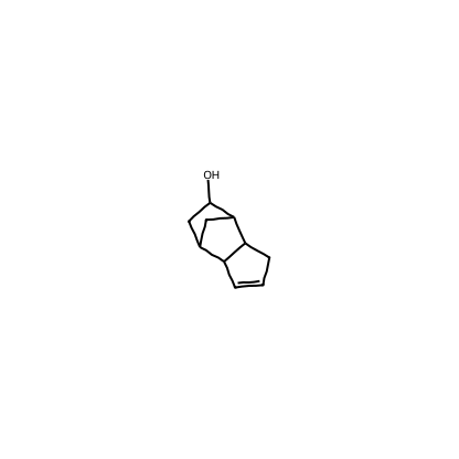 OC1CC2CC1C1CC=CC21